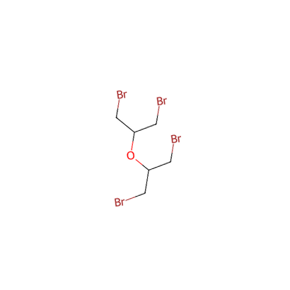 BrCC(CBr)OC(CBr)CBr